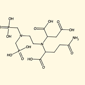 NC(=O)CCC(C(=O)O)N(CCN(CP(=O)(O)O)CP(=O)(O)O)C(CC(=O)O)C(=O)O